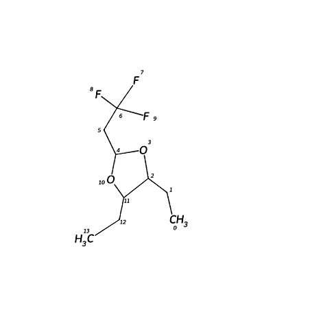 CCC1OC(CC(F)(F)F)OC1CC